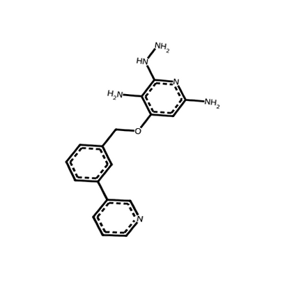 NNc1nc(N)cc(OCc2cccc(-c3cccnc3)c2)c1N